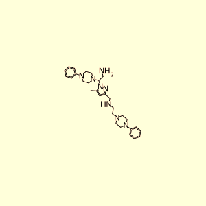 Cc1cc(CNCCN2CCN(c3ccccc3)CC2)nn1C(CN)N1CCN(c2ccccc2)CC1